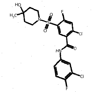 CC1(O)CCN(S(=O)(=O)c2cc(C(=O)Nc3ccc(F)c(Cl)c3)c(Cl)cc2F)CC1